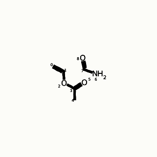 C=COC(C)=O.NC=O